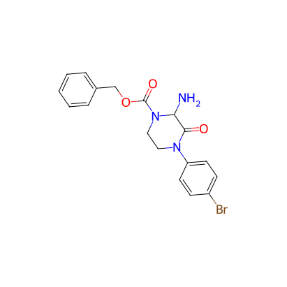 NC1C(=O)N(c2ccc(Br)cc2)CCN1C(=O)OCc1ccccc1